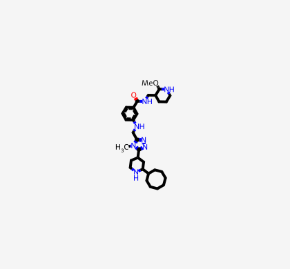 COC1NCCCC1CNC(=O)c1cccc(NCc2nnc(C3CCNC(C4CCCCCCC4)C3)n2C)c1